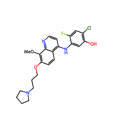 COc1c(OCCCN2CCCC2)ccc2c(Nc3cc(O)c(Cl)cc3F)ccnc12